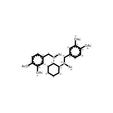 CC(=O)Oc1ccc(CN(C(C)=O)[C@H]2CCCC[C@@H]2N(Cc2ccc(OC(C)=O)c(OC(C)=O)c2)C(C)=O)cc1OC(C)=O